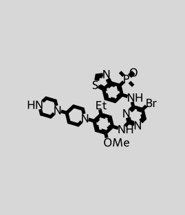 CCc1cc(Nc2ncc(Br)c(Nc3ccc4scnc4c3P(C)(C)=O)n2)c(OC)cc1N1CCC(N2CCNCC2)CC1